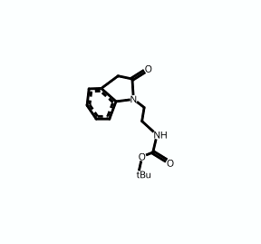 CC(C)(C)OC(=O)NCCN1C(=O)Cc2ccccc21